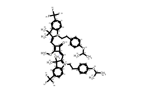 COC1=C(/C=C2\N(CCc3ccc(OC(C)C)cc3)c3ccc(C(F)(F)F)cc3C2(C)C)C(=O)/C1=C/C1=[N+](CCc2ccc(OC(C)C)cc2)c2ccc(C(F)(F)F)cc2C1(C)C